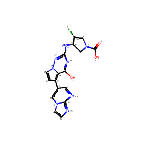 O=C(O)N1C[C@H](F)[C@H](Nc2nc(O)c3c(-c4cnc5nccn5c4)ccn3n2)C1